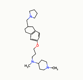 CN1CCC(N(C)CCCOc2ccc3c(c2)CCC(CN2CCCC2)C3)CC1